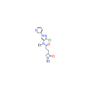 CCN1CC(CCC(=O)N(CC)c2cn(-c3cccnc3)nc2Cl)C1=O